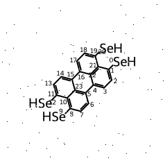 [SeH]c1ccc2c3ccc([SeH])c4c([SeH])ccc(c5ccc([SeH])c1c25)c43